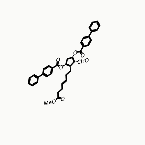 COC(=O)CCC=CCC[C@@H]1[C@@H](C=O)[C@H](OC(=O)c2ccc(-c3ccccc3)cc2)C[C@@H]1OC(=O)c1ccc(-c2ccccc2)cc1